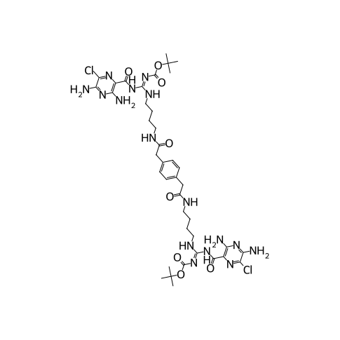 CC(C)(C)OC(=O)/N=C(\NCCCCNC(=O)Cc1ccc(CC(=O)NCCCCN/C(=N\C(=O)OC(C)(C)C)NC(=O)c2nc(Cl)c(N)nc2N)cc1)NC(=O)c1nc(Cl)c(N)nc1N